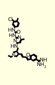 CCN1CC(/C=C/c2cc3cc(C(=N)N)ccc3o2)C(CNc2cc(C)nc(NC(=O)Nc3ccc(C)c(Cl)c3)n2)C1